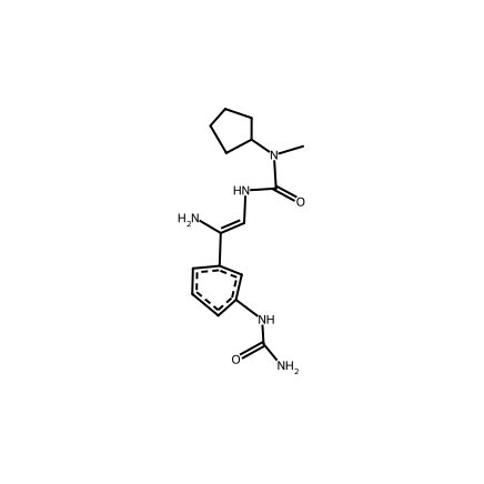 CN(C(=O)N/C=C(\N)c1cccc(NC(N)=O)c1)C1CCCC1